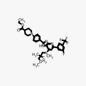 CCOC(=O)C1CCN(c2ccc(-c3nc4nc(-c5cc(F)cc(C(F)(F)F)c5)cc(N(C)CC(C)(C)COC)c4[nH]3)cc2)CC1